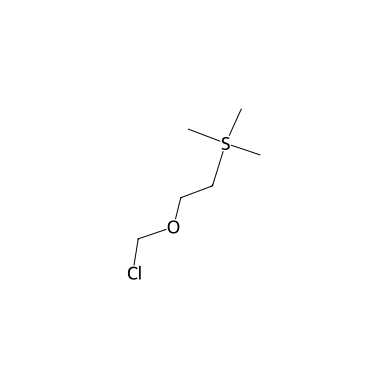 CS(C)(C)CCOCCl